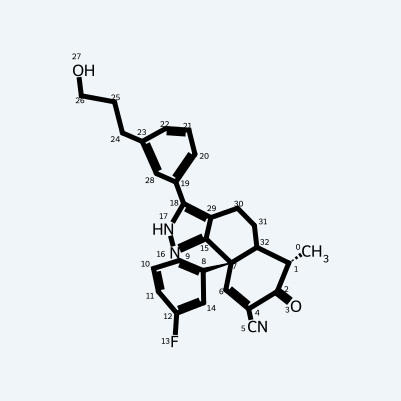 C[C@@H]1C(=O)C(C#N)=C[C@]2(c3cccc(F)c3)c3n[nH]c(-c4cccc(CCCO)c4)c3CCC12